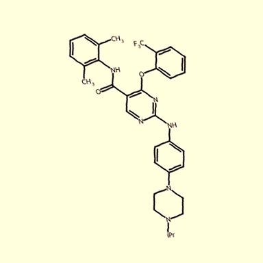 Cc1cccc(C)c1NC(=O)c1cnc(Nc2ccc(N3CCN(C(C)C)CC3)cc2)nc1Oc1ccccc1C(F)(F)F